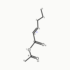 CCC/C=C/C(=O)OC(C)=O